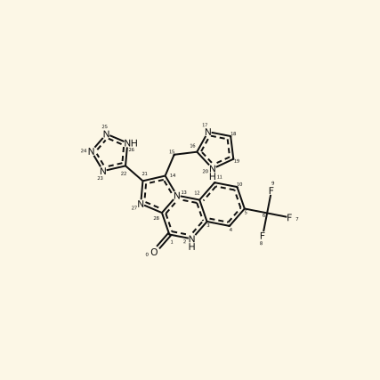 O=c1[nH]c2cc(C(F)(F)F)ccc2n2c(Cc3ncc[nH]3)c(-c3nnn[nH]3)nc12